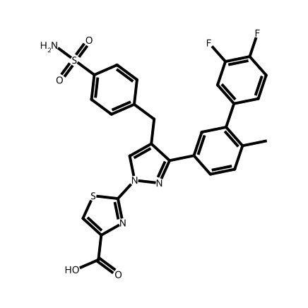 Cc1ccc(-c2nn(-c3nc(C(=O)O)cs3)cc2Cc2ccc(S(N)(=O)=O)cc2)cc1-c1ccc(F)c(F)c1